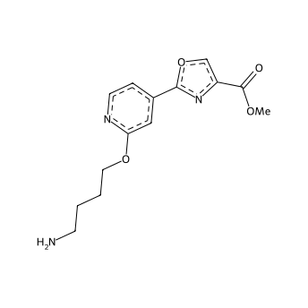 COC(=O)c1coc(-c2ccnc(OCCCCN)c2)n1